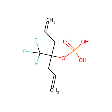 C=CCC(CC=C)(OP(=O)(O)O)C(F)(F)F